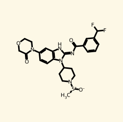 C[S+]([O-])N1CCC(n2/c(=N/C(=O)c3cccc(C(F)F)c3)[nH]c3cc(N4CCOCC4=O)ccc32)CC1